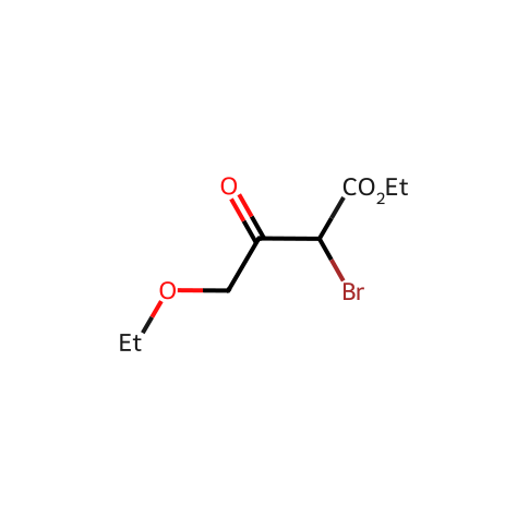 CCOCC(=O)C(Br)C(=O)OCC